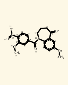 COc1ccc2c(c1)C(=O)CCCN2C(=O)c1ccc([N+](=O)[O-])c(OC)c1